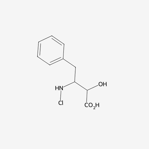 O=C(O)C(O)C(Cc1ccccc1)NCl